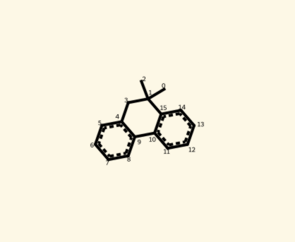 CC1(C)Cc2ccccc2-c2ccccc21